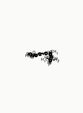 COc1cc2nc(C)nc(N[C@H](C)c3cc(N)cc(C(F)(F)F)c3)c2cc1OC1CCN(CCC2CCN(c3ccc4c(c3)C(=O)N(C3CCC(=O)NC3=O)C4=O)CC2)CC1